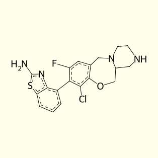 Nc1nc2c(-c3c(F)cc4c(c3Cl)OCC3CNCCN3C4)cccc2s1